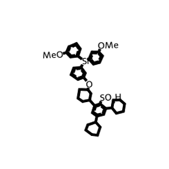 COc1cccc([SH](c2cccc(OC)c2)c2cccc(OC3CCCC(c4cc(C5CCCCC5)cc(C5CCCCC5)c4S(=O)(=O)O)C3)c2)c1